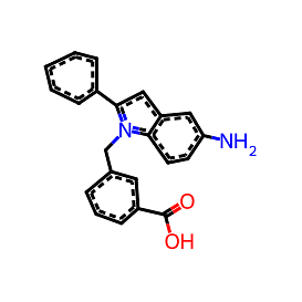 Nc1ccc2c(c1)cc(-c1ccccc1)n2Cc1cccc(C(=O)O)c1